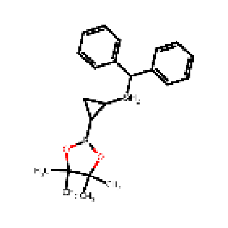 CC1(C)OB(C2CC2[SiH2]C(c2ccccc2)c2ccccc2)OC1(C)C